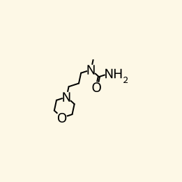 CN(CCCN1CCOCC1)C(N)=O